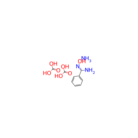 N.NC(=NO)c1ccccc1.O=C(O)O.O=C(O)O